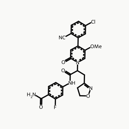 COc1cn(C(CC2=NOCC2)C(=O)Nc2ccc(C(N)=O)c(F)c2)c(=O)cc1-c1cc(Cl)ccc1C#N